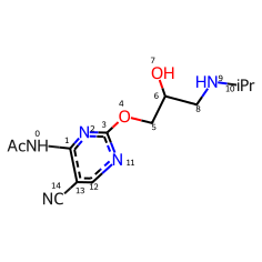 CC(=O)Nc1nc(OCC(O)CNC(C)C)ncc1C#N